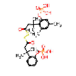 Cc1cc(C)c(C(C)(C)CC(=O)SSC(=O)CC(C)(C)c2ccccc2OP(=O)(O)O)c(OP(=O)(O)O)c1